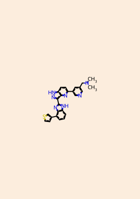 CN(C)Cc1cncc(-c2ccc3[nH]nc(-c4nc5c(-c6ccsc6)cccc5[nH]4)c3n2)c1